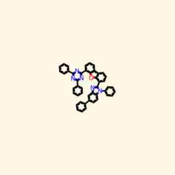 c1ccc(-c2ccc3c(c2)nc(-c2cccc4c2oc2c(-c5nc(-c6ccccc6)nc(-c6ccccc6)n5)cccc24)n3-c2ccccc2)cc1